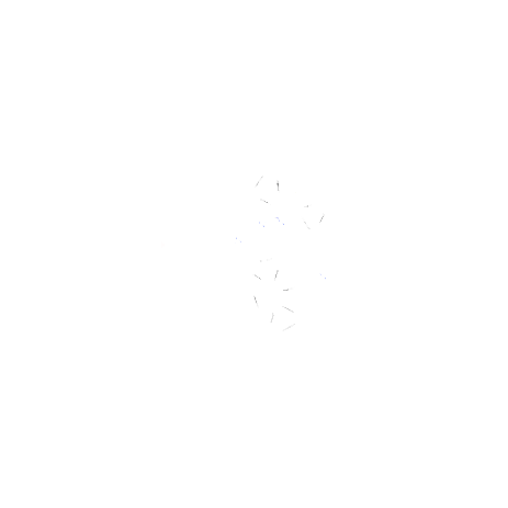 CN1CCC(=C2c3ccccc3C=Cc3ccccc32)CC1.OCCOCCN1CCN(C2=Nc3ccccc3Sc3ccccc32)CC1